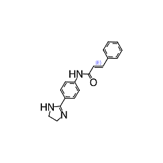 O=C(/C=C/c1ccccc1)Nc1ccc(C2=NCCN2)cc1